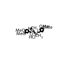 COc1ccc(CCN(C)CCn2c(C)nc3cc(OC)c(OC)cc3c2=O)cc1OC.Cl